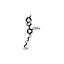 COc1cc(OCCOCCO)ccc1-c1cn2cc(I)ccc2n1